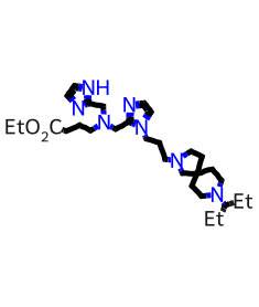 CCOC(=O)CCCN(Cc1ncc[nH]1)Cc1nccn1CCCN1CCC2(CCN(C(CC)CC)CC2)C1